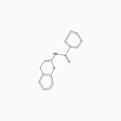 O=C(NC1=CCc2ccccc2O1)c1ccccc1